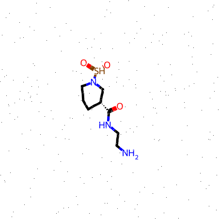 NCCNC(=O)[C@@H]1CCCN([SH](=O)=O)C1